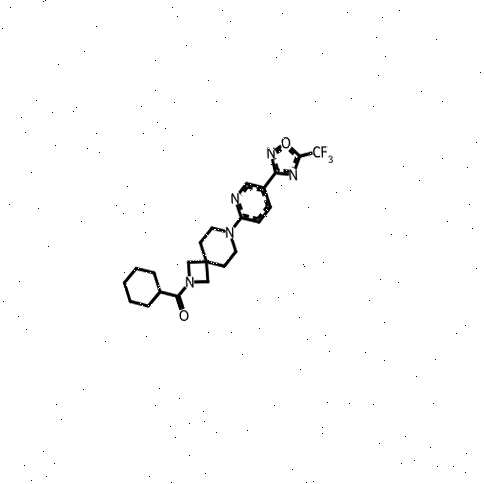 O=C(C1CCCCC1)N1CC2(CCN(c3ccc(-c4noc(C(F)(F)F)n4)cn3)CC2)C1